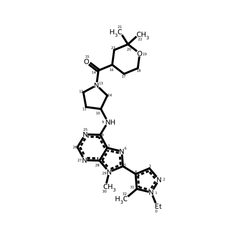 CCn1ncc(-c2nc3c(NC4CCN(C(=O)C5CCOC(C)(C)C5)C4)ncnc3n2C)c1C